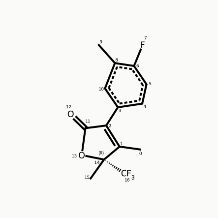 CC1=C(c2ccc(F)c(C)c2)C(=O)O[C@@]1(C)C(F)(F)F